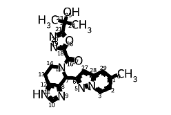 Cc1ccn2nc(C3c4nc[nH]c4CCN3C(=O)c3nnc(C(C)(C)O)o3)cc2c1